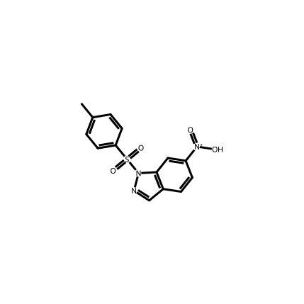 Cc1ccc(S(=O)(=O)n2ncc3ccc([N+](=O)O)cc32)cc1